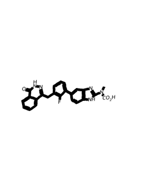 CN(C(=O)O)c1nc2cc(-c3cccc(Cc4n[nH]c(=O)c5ccccc45)c3F)ccc2[nH]1